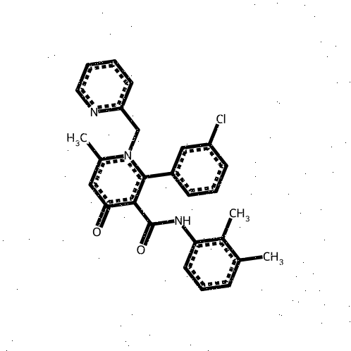 Cc1cccc(NC(=O)c2c(-c3cccc(Cl)c3)n(Cc3ccccn3)c(C)cc2=O)c1C